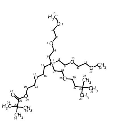 COCCOCC[N+](CCOCCOC)(CCOCCOC(=O)C(C)(C)C)CCOCCC(C)(C)C